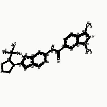 [2H]C([2H])([2H])N1CCC[C@@H]1c1cc2cnc(NC(=O)c3ccc4c(C)nn(C)c4c3)cc2[nH]1